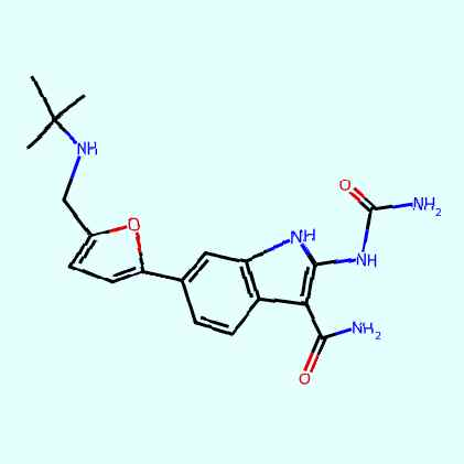 CC(C)(C)NCc1ccc(-c2ccc3c(C(N)=O)c(NC(N)=O)[nH]c3c2)o1